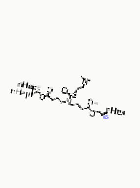 CCCCCC/C=C\COC(O)CCCN(CCCC(=O)OC(CCCCCCC)CCCCCCC)C(=O)SCCN(C)C